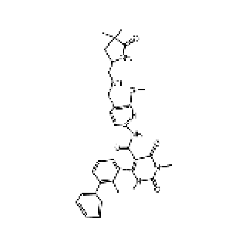 COc1nc(NC(=O)c2c(-c3cccc(-c4ccccc4)c3C)n(C)c(=O)n(C)c2=O)ccc1CNCC1CC(C)(C)C(=O)N1